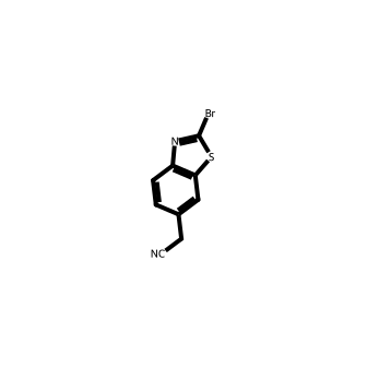 N#CCc1ccc2nc(Br)sc2c1